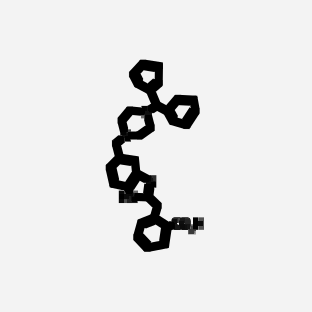 O=C(O)c1ccccc1Cc1nc2cc(CN3CCN(C(c4ccccc4)c4ccccc4)CC3)ccc2[nH]1